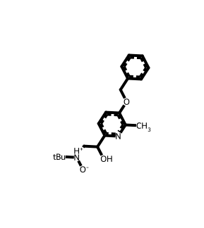 Cc1nc(C(O)C[NH+]([O-])C(C)(C)C)ccc1OCc1ccccc1